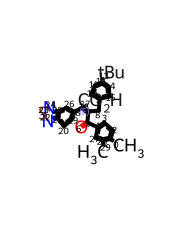 Cc1ccc(C(=O)/C(Cc2ccc(C(C)(C)C)cc2)=C(/C(=O)O)c2ccc3nsnc3c2)cc1C